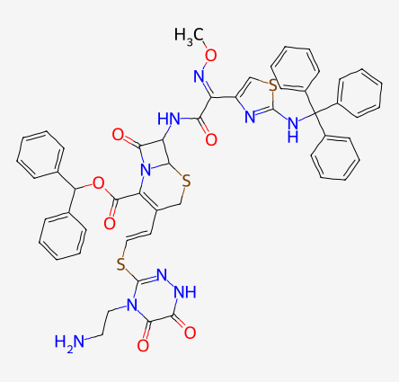 CON=C(C(=O)NC1C(=O)N2C(C(=O)OC(c3ccccc3)c3ccccc3)=C(C=CSc3n[nH]c(=O)c(=O)n3CCN)CSC12)c1csc(NC(c2ccccc2)(c2ccccc2)c2ccccc2)n1